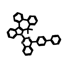 CC1(C)c2ccccc2-c2ccccc2-c2c1n(-c1nc(-c3ccc(-c4ccccc4)cc3)c3ccccc3n1)c1ccccc21